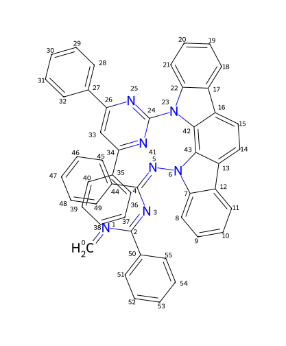 C=N/C(=N\C(=N/n1c2ccccc2c2ccc3c4ccccc4n(-c4nc(-c5ccccc5)cc(-c5ccccc5)n4)c3c21)c1ccccc1)c1ccccc1